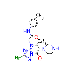 Cc1c(N2CCNCC2)c(=O)n2nc(Br)nc2n1CC(=O)Nc1ccc(C(F)(F)F)cc1